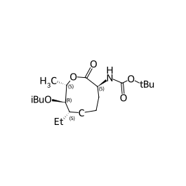 CC[C@H]1CCC[C@H](NC(=O)OC(C)(C)C)C(=O)O[C@@H](C)[C@@H]1OCC(C)C